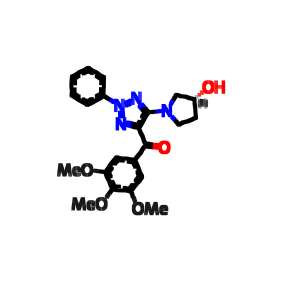 COc1cc(C(=O)c2nn(-c3ccccc3)nc2N2CC[C@@H](O)C2)cc(OC)c1OC